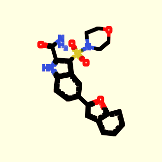 NC(=O)c1[nH]c2ccc(-c3cc4ccccc4o3)cc2c1S(=O)(=O)N1CCOCC1